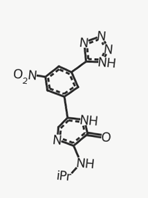 CC(C)Nc1ncc(-c2cc(-c3nnn[nH]3)cc([N+](=O)[O-])c2)[nH]c1=O